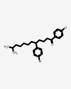 CC(C)CCCCCC(CCCC(=O)c1ccc(Cl)cc1)c1ccc(Br)cc1